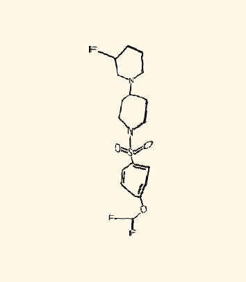 O=S(=O)(c1ccc(OC(F)F)cc1)N1CCC(N2CCCC(F)C2)CC1